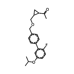 CC(=O)C1CC1COCc1ccc(-c2cc(OC(C)C)ccc2F)cc1